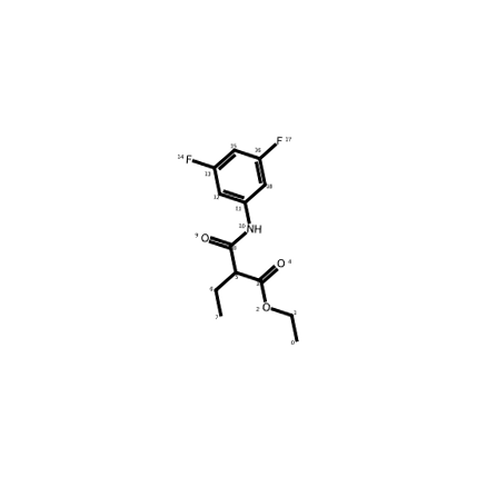 CCOC(=O)C(CC)C(=O)Nc1cc(F)cc(F)c1